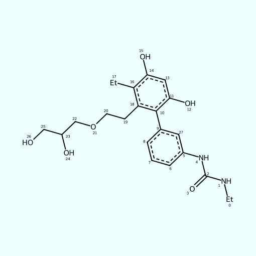 CCNC(=O)Nc1cccc(-c2c(O)cc(O)c(CC)c2CCOCC(O)CO)c1